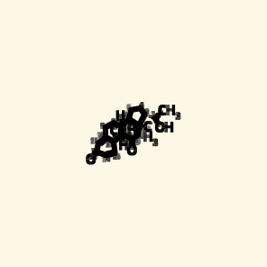 CC(O)[C@H]1CC[C@H]2[C@@H]3CCC4=CC(=O)C=C[C@]4(C)[C@H]3C(=O)C[C@]12C